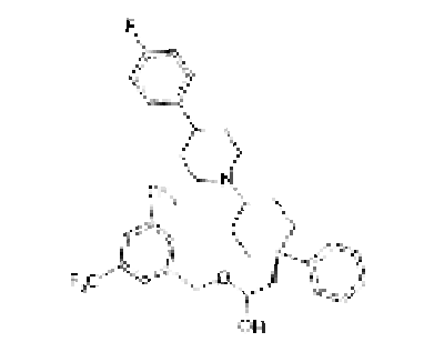 OC(C[C@]1(c2ccccc2)CC[C@@H](N2CCC(c3ccc(F)cc3)CC2)CC1)OCc1cc(C(F)(F)F)cc(C(F)(F)F)c1